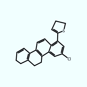 Clc1cc(C2=CCCS2)c2ccc3c(c2c1)CCC1=C3C=CCC1